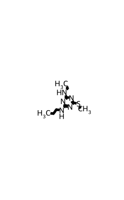 CCCNc1nc(NCC)nc(SC)n1